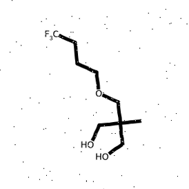 CC(CO)(CO)COCCCC(F)(F)F